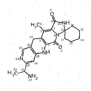 Cc1c2c(c(=O)n3c1C(=O)NC31CCCCC1)Nc1cc(C(C)N)ncc1C2